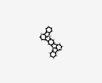 c1ccc2c(c1)c1nccc3c4cc5c(cc4n2c31)c1ccnc2c3ccccc3n5c12